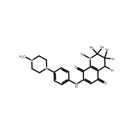 [2H]C1C2=C(C(=O)C(Nc3ccc(N4CCN(C)CC4)cc3)=CC2=O)N([2H])C([2H])([2H])C1([2H])[2H]